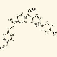 CCOc1ccc(/C=C/C(=O)c2ccc(C(OO)c3ccc(C4CCC(CC)CC4)cc3)cc2)cc1